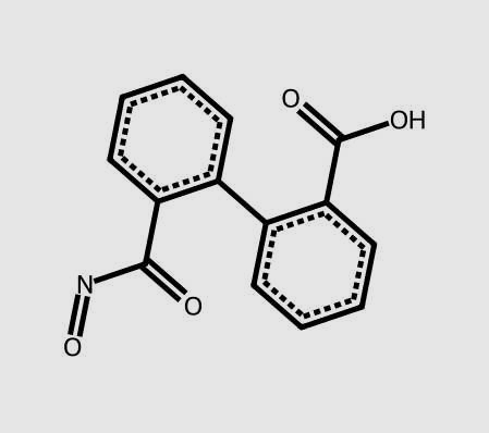 O=NC(=O)c1ccccc1-c1ccccc1C(=O)O